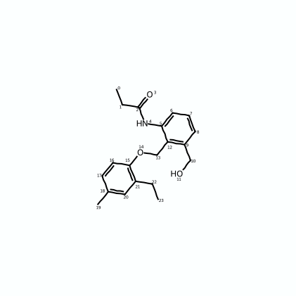 CCC(=O)Nc1cccc(CO)c1COc1ccc(C)cc1CC